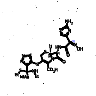 CCNC(NC)(SCC)c1nnsc1SC1=C(C(=O)O)N2C(=O)[C@@H](NC(=O)/C(=N\O)c3csc(N)n3)[C@H]2SC1